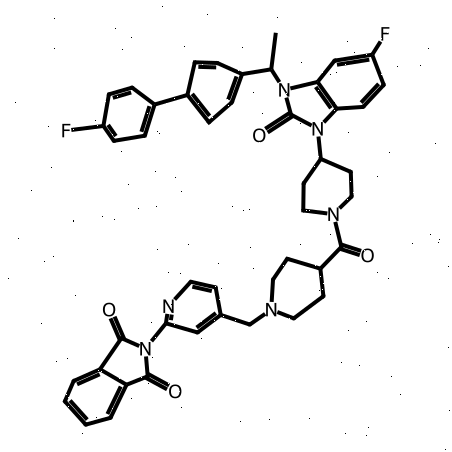 CC(c1ccc(-c2ccc(F)cc2)cc1)n1c(=O)n(C2CCN(C(=O)C3CCN(Cc4ccnc(N5C(=O)c6ccccc6C5=O)c4)CC3)CC2)c2ccc(F)cc21